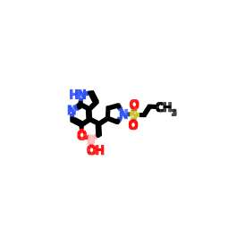 CCCS(=O)(=O)N1CCC(C2=CB(O)Oc3cnc4[nH]ccc4c32)C1